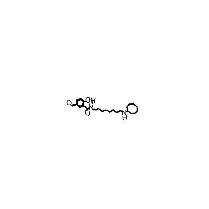 O=Cc1ccc(O)c(C(=O)NCCCCCCCCNC2CCCCCCC2)c1